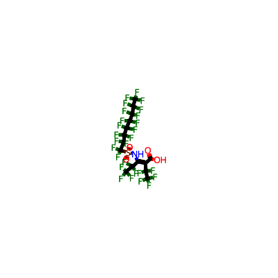 O=C(O)C(=C(NS(=O)(=O)C(F)(F)C(F)(F)C(F)(F)C(F)(F)C(F)(F)C(F)(F)C(F)(F)C(F)(F)F)C(F)(F)C(F)(F)F)C(F)(F)C(F)(F)F